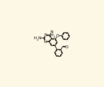 Nc1nc(N)c2c(Oc3ccccc3)cc(-c3ccccc3C=O)cc2n1